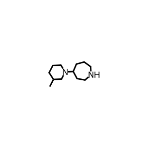 CC1CCCN(C2CCCNCC2)C1